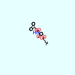 COc1c(NC(=O)OCC2c3ccccc3-c3ccccc32)cccc1OC(=O)CCCC(C)(C)C